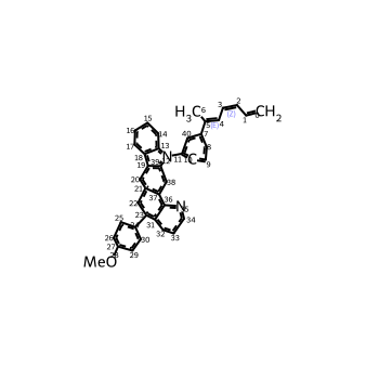 C=C/C=C\C=C(/C)c1cccc(-n2c3ccccc3c3cc4cc(-c5ccc(OC)cc5)c5cccnc5c4cc32)c1